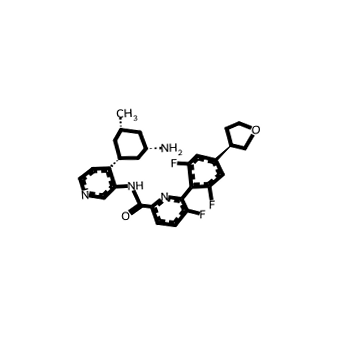 C[C@@H]1C[C@H](N)C[C@H](c2ccncc2NC(=O)c2ccc(F)c(-c3c(F)cc([C@H]4CCOC4)cc3F)n2)C1